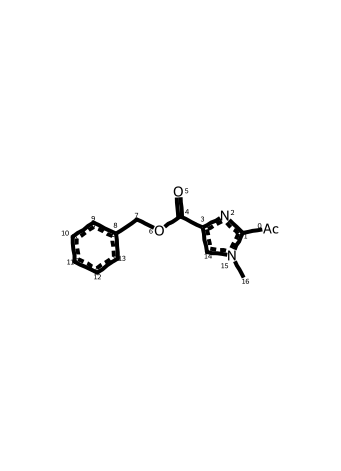 CC(=O)c1nc(C(=O)OCc2ccccc2)cn1C